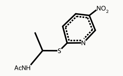 CC(=O)NC(C)Sc1ccc([N+](=O)[O-])cn1